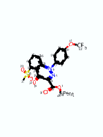 CCCCCOC(=O)c1nn(-c2ccc(OC(F)(F)F)cc2)c2cccc(S(C)(=O)=O)c2c1=O